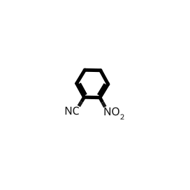 N#CC1=CCCC=C1[N+](=O)[O-]